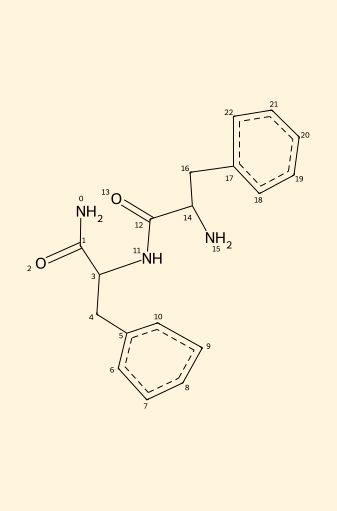 NC(=O)C(Cc1ccccc1)NC(=O)C(N)Cc1ccccc1